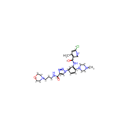 Cc1cc(Cl)ncc1C(=O)Nc1cc(-n2cc(C(=O)NCCCN3CCOCC3)nn2)ccc1N1CCN(C)CC1